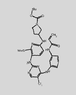 C=CC(=O)Nc1cccc(Nc2nc(Nc3ccc(NC4CCN(C(=O)OC(C)(C)C)C4)nc3OC)ncc2C(F)(F)F)c1